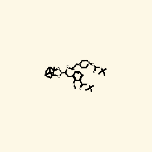 COc1c(CC(NC(=O)CN2CCN(CC(=O)OC(C)(C)C)CC2)B2OC3CC4CC(C4(C)C)C3(C)O2)cccc1C(=O)OC(C)(C)C